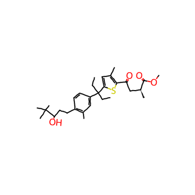 CCC(CC)(c1ccc(CCC(O)C(C)(C)C)c(C)c1)c1cc(C)c(C(=O)C[C@H](C)C(=O)OC)s1